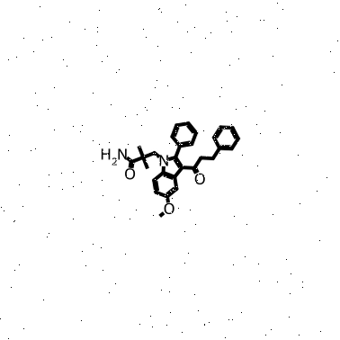 COc1ccc2c(c1)c(C(=O)CCc1ccccc1)c(-c1ccccc1)n2CC(C)(C)C(N)=O